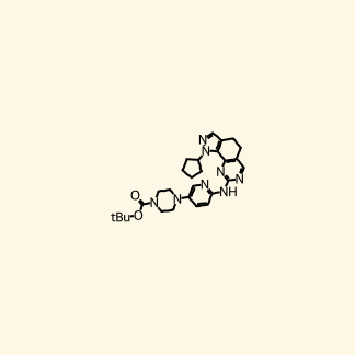 CC(C)(C)OC(=O)N1CCN(c2ccc(Nc3ncc4c(n3)-c3c(cnn3C3CCCC3)CC4)nc2)CC1